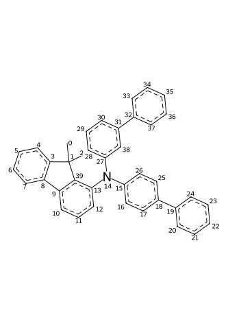 CC1(C)c2ccccc2-c2cccc(N(c3ccc(-c4ccccc4)cc3)c3cccc(-c4ccccc4)c3)c21